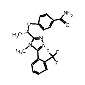 C[C@H](Oc1ccc(C(N)=O)cc1)c1nnc(-c2ccccc2C(F)(F)F)n1C